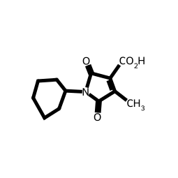 CC1=C(C(=O)O)C(=O)N(C2CCCCC2)C1=O